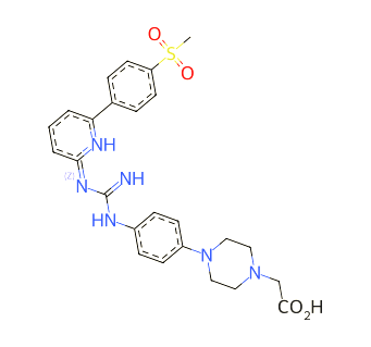 CS(=O)(=O)c1ccc(-c2ccc/c(=N/C(=N)Nc3ccc(N4CCN(CC(=O)O)CC4)cc3)[nH]2)cc1